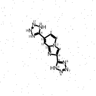 c1cn2cc(-c3nnn[nH]3)nc2cc1-c1nnn[nH]1